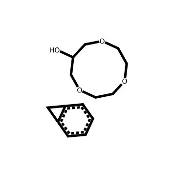 OC1COCCOCCOC1.c1ccc2c(c1)C2